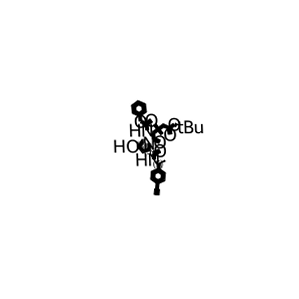 C#Cc1ccc([C@H](C)NC(=O)[C@@H]2C[C@@H](O)CN2C(=O)C(NC(=O)Oc2ccccc2)C(C)(C)CC(=O)OC(C)(C)C)cc1